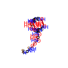 O=C(NCCOCCOCCNC(=S)Nc1ccc(N=C=S)cc1)c1ccc(C(=O)NCCN2CCNC(=O)c3ccc(c(O)c3O)C(=O)NCCN3CCNC(=O)c4ccc(c(O)c4O)C(=O)NCCN(CCNC(=O)c4ccc(c(O)c4O)C(=O)NCC3)CC2)c(O)c1O